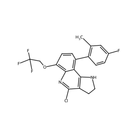 Cc1cc(F)ccc1-c1ccc(OCC(F)(F)F)c2nc(Cl)c3c(c12)NCC3